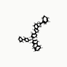 c1ccc(-c2ccc(N(c3ccc(-c4ccc5c(ccc6oc(-c7ccccc7)nc65)c4)cc3)c3ccc4c(c3)sc3ccccc34)cc2)cc1